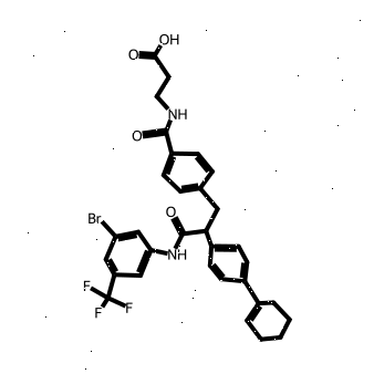 O=C(O)CCNC(=O)c1ccc(CC(C(=O)Nc2cc(Br)cc(C(F)(F)F)c2)c2ccc(C3=CCCCC3)cc2)cc1